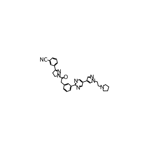 N#Cc1cccc(C2=NN(C(=O)Cc3cccc(-c4ncc(-c5cnn(CCN6CCCC6)c5)cn4)c3)CC2)c1